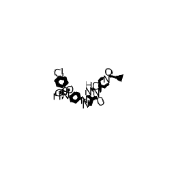 O=C(C1CC1)N1CCC(O)(Cn2cnc3c(cnn3-c3ccc(NS(=O)(=O)c4ccc(Cl)cc4)cc3)c2=O)CC1